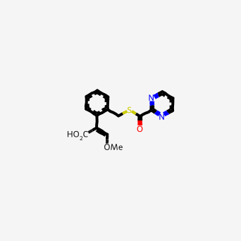 COC=C(C(=O)O)c1ccccc1CSC(=O)c1ncccn1